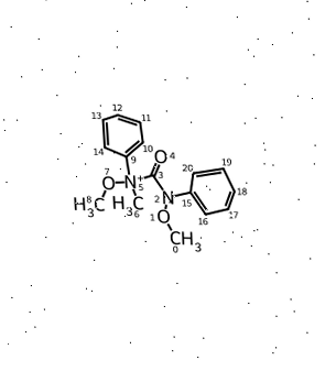 CON(C(=O)[N+](C)(OC)c1ccccc1)c1ccccc1